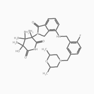 BC1(O)C(=O)NC(=O)C(B)(N2Cc3c(NCc4cc(CN5CC(C)OC(C)C5)ccc4F)cccc3C2=O)C1(B)B